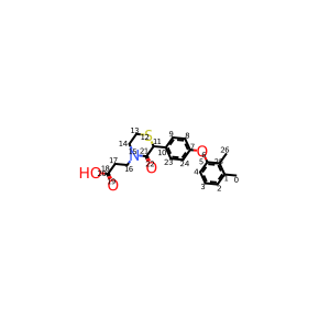 Cc1cccc(Oc2ccc(C3SCCN(CCC(=O)O)C3=O)cc2)c1C